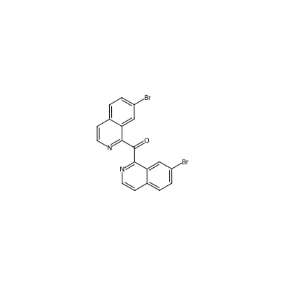 O=C(c1nccc2ccc(Br)cc12)c1nccc2ccc(Br)cc12